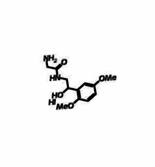 COc1ccc(OC)c(C(O)CNC(=O)CN)c1.I